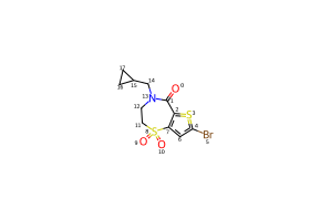 O=C1c2sc(Br)cc2S(=O)(=O)CCN1CC1CC1